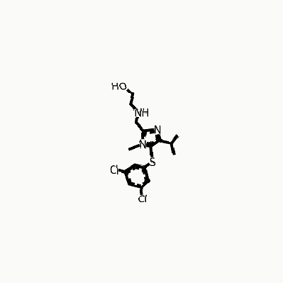 CC(C)c1nc(CNCCO)n(C)c1Sc1cc(Cl)cc(Cl)c1